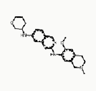 COc1cc2c(cc1Nc1ncc3ccc(NC4CCCOC4)cc3n1)CN(C)CC2